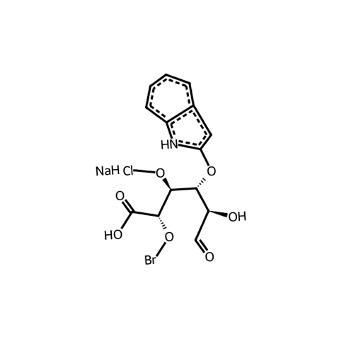 O=C[C@H](O)[C@@H](Oc1cc2ccccc2[nH]1)[C@H](OCl)[C@H](OBr)C(=O)O.[NaH]